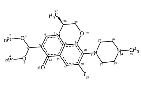 CCCOC(OCCC)c1cn2c3c(c(N4CCN(C)CC4)c(F)cc3c1=O)OC[C@@H]2C